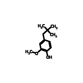 COc1cc(CC(C)(C)C)ccc1O